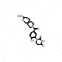 Cc1ccc(C(=O)N2CCC3(CCC(C=O)OC3)CC2)cc1N1CCC(=O)NC1=O